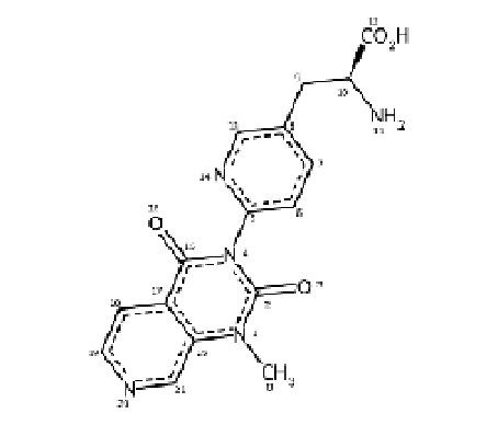 Cn1c(=O)n(-c2ccc(C[C@H](N)C(=O)O)cn2)c(=O)c2ccncc21